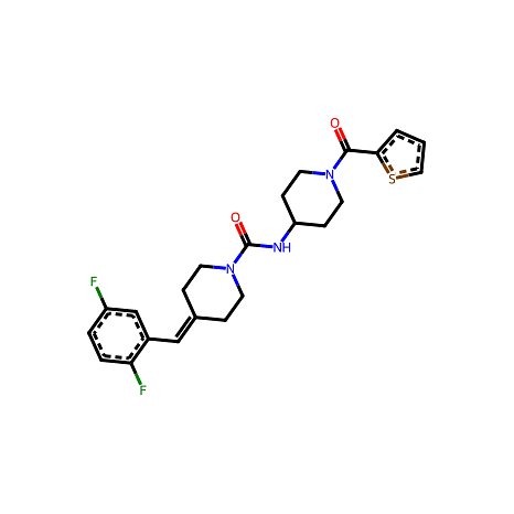 O=C(NC1CCN(C(=O)c2cccs2)CC1)N1CCC(=Cc2cc(F)ccc2F)CC1